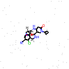 C[C@@H](NC(=O)c1cn(C23CC(C2)C3)c(=O)cc1N[C@@H]1[C@@H]2CN(C)C[C@@H]21)c1cccc(C#N)c1Cl